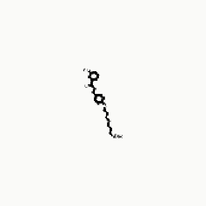 CCCCCCCCCCCCCCCCCSc1ccc(C=CC(=O)c2cccc(C(C)=O)c2)cc1